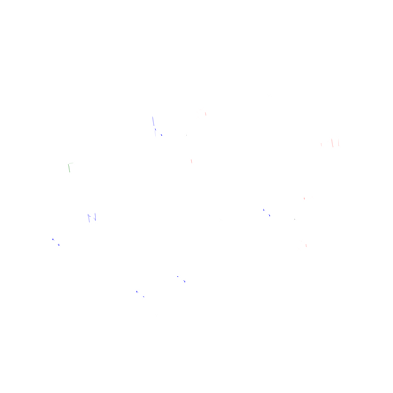 Cc1cn(-c2ccc(N3CC(CO)OC3=O)cc2F)cn1.Cc1cn(-c2ccc(NC(=O)OCc3ccccc3)cc2F)cn1